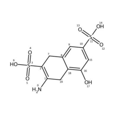 NC1=C(S(=O)(=O)O)Cc2cc(S(=O)(=O)O)cc(O)c2[CH]1